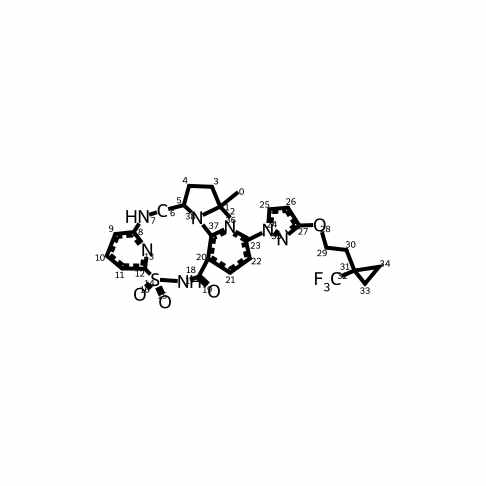 CC1(C)CCC2CNc3cccc(n3)S(=O)(=O)NC(=O)c3ccc(-n4ccc(OCCC5(C(F)(F)F)CC5)n4)nc3N21